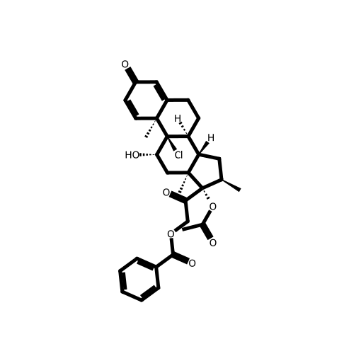 CC(=O)O[C@@]1(C(=O)COC(=O)c2ccccc2)[C@H](C)C[C@H]2[C@@H]3CCC4=CC(=O)C=C[C@]4(C)[C@@]3(Cl)[C@@H](O)C[C@@]21C